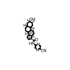 C[C@H]1C[C@H]2[C@H](CC[C@@H]3[C@@H]2CC[C@]2(C)[C@@H](C(=O)Nc4cnc(C#N)cn4)CC[C@@H]32)C[C@]1(C)O